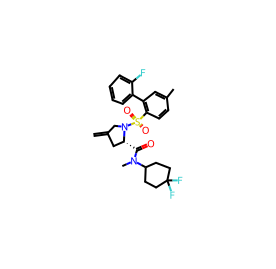 C=C1C[C@@H](C(=O)N(C)C2CCC(F)(F)CC2)N(S(=O)(=O)c2ccc(C)cc2-c2ccccc2F)C1